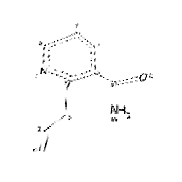 C=CCc1ncccc1C(N)=O